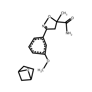 C1CC2CC1O2.COc1cccc(C2=NOC(C)(C(N)=O)C2)c1